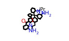 CC(C)N1c2ccccc2C2(c3ccccc3-c3cc(CC(C)n4c5ccccc5c(=O)c5cccc(N)c54)ccc32)c2cccc(N)c21